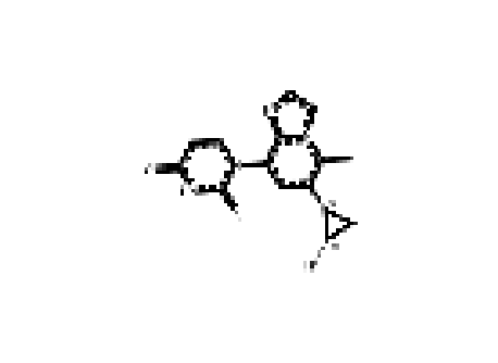 Cc1c([C@H]2C[C@@H]2C(C)C)cc(-n2ccc(=O)[nH]c2=O)c2nccn12